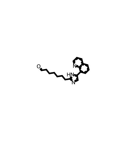 O=CCCCCCCc1ncc(-c2cccc3cccnc23)[nH]1